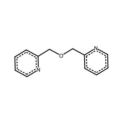 c1ccc(COCc2ccccn2)nc1